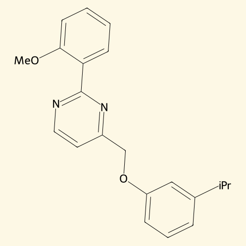 COc1ccccc1-c1nccc(COc2cccc(C(C)C)c2)n1